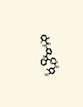 Cc1cc(Nc2nccc(-c3c(-c4cccc(NC(=O)c5c(F)cccc5F)c4)nn4ccccc34)n2)ccc1C#N